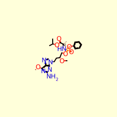 COc1nc(N)nc2c1ncn2CCC(COP(=O)(N[C@@H](C)C(=O)OC(C)C)Oc1ccccc1)OC